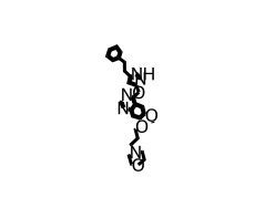 COc1cc2c(Oc3cc(CCc4ccccc4)[nH]n3)ncnc2cc1OCCCN1CCOCC1